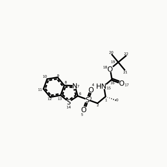 C[C@H](CS(=O)(=O)c1nc2ccccc2s1)NC(=O)OC(C)(C)C